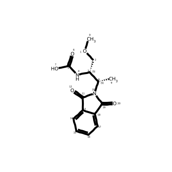 COC[C@@H](NC(=O)O)[C@H](C)N1C(=O)c2ccccc2C1=O